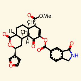 COC(=O)[C@@H]1C=C(OC(=O)c2ccc3c(c2)C(=O)NC3)C(=O)[C@H]2[C@@]1(C)CC[C@H]1C(=O)O[C@H](c3ccoc3)C[C@]21C